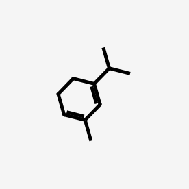 CC1=CCCC(C(C)C)=C1